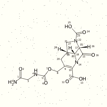 NC(=O)CNC(=O)OCC1=C(C(=O)O)N2C(=O)[C@@H]3[C@H]2[C@H](C1)CN3C(=O)O